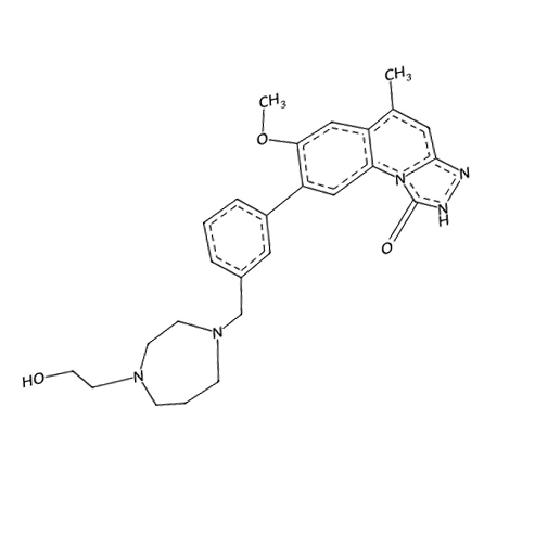 COc1cc2c(C)cc3n[nH]c(=O)n3c2cc1-c1cccc(CN2CCCN(CCO)CC2)c1